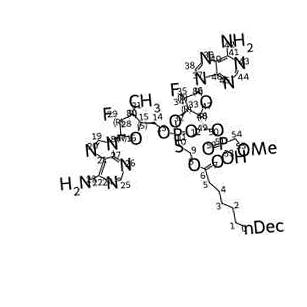 CCCCCCCCCCCCCCCC(=O)OCSP(=O)(OC[C@H]1O[C@@H](n2cnc3c(N)ncnc32)[C@H](F)[C@@H]1C)O[C@H]1[C@@H](F)[C@H](n2cnc3c(N)ncnc32)O[C@@H]1COP(=O)(O)COC